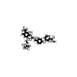 CNC(=O)c1cc(Oc2ccc(CNC(=O)Nc3cc(C(F)(F)F)c(C)cc3OCCNS(C)(=O)=O)cc2)ccn1